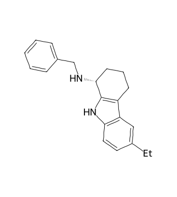 CCc1ccc2[nH]c3c(c2c1)CCC[C@H]3NCc1ccccc1